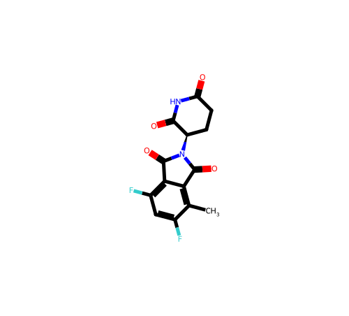 Cc1c(F)cc(F)c2c1C(=O)N([C@@H]1CCC(=O)NC1=O)C2=O